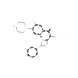 O=C(O)c1c2n(c3cc(N4CCNCC4)c(F)cc3c1=O)C(c1ccccc1)S2